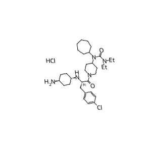 CCN(CC)C(=O)N(C1CCCCCC1)C1CCN(C(=O)[C@@H](Cc2ccc(Cl)cc2)N[C@H]2CC[C@@H](N)CC2)CC1.Cl